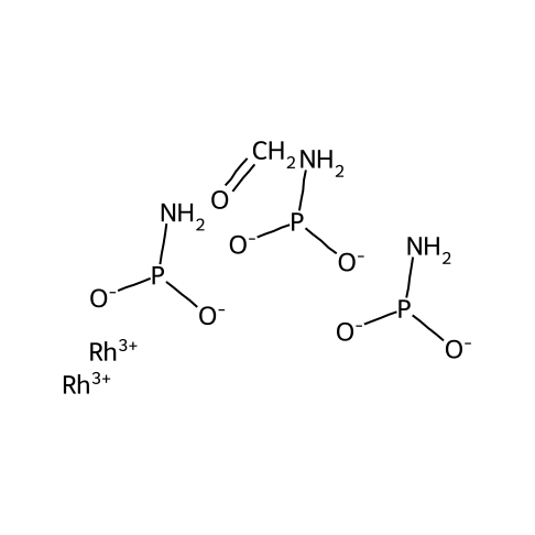 C=O.NP([O-])[O-].NP([O-])[O-].NP([O-])[O-].[Rh+3].[Rh+3]